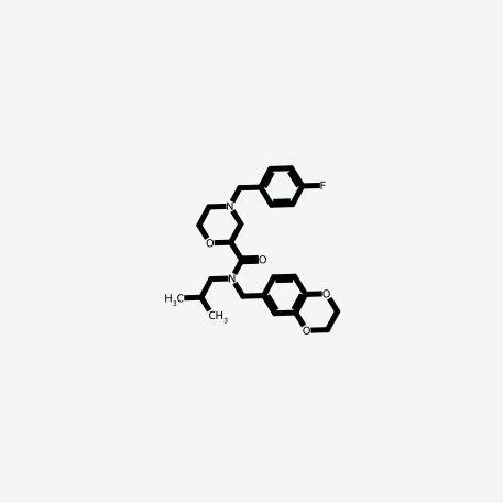 CC(C)CN(Cc1ccc2c(c1)OCCO2)C(=O)C1CN(Cc2ccc(F)cc2)CCO1